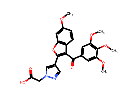 COc1ccc2c(C(=O)c3cc(OC)c(OC)c(OC)c3)c(-c3cnn(CC(=O)O)c3)oc2c1